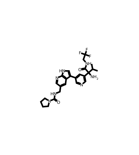 CC(C)C(N)(C(=O)NCC(F)(F)F)c1cncc(-c2c[nH]c3ncc(CNC(=O)N4CCCC4)cc23)c1